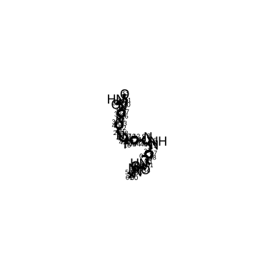 Cc1cc(-c2n[nH]c3ncc(-c4ccc(C5(F)CCN(CC6CCN(c7ccc(N8CCC(=O)NC8=O)cc7)CC6)CC5)cc4)cc23)ccc1C(C)NC(=O)c1nc(C(C)(C)C)no1